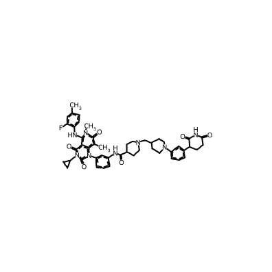 Cc1ccc(Nc2c3c(=O)n(C4CC4)c(=O)n(-c4cccc(NC(=O)C5CCN(CC6CCN(c7cccc(C8CCC(=O)NC8=O)c7)CC6)CC5)c4)c3c(C)c(=O)n2C)c(F)c1